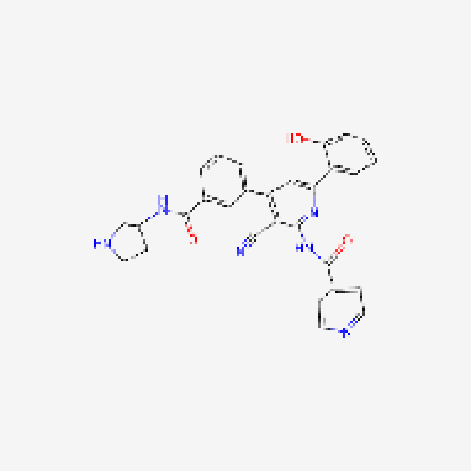 N#Cc1c(-c2cccc(C(=O)NC3CCNC3)c2)cc(-c2ccccc2O)nc1NC(=O)c1ccncc1